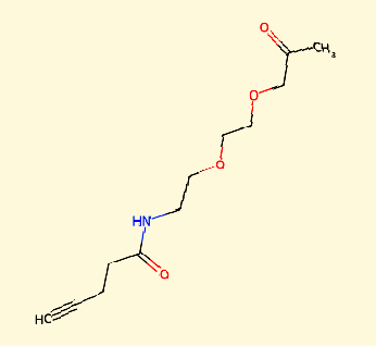 C#CCCC(=O)NCCOCCOCC(C)=O